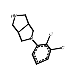 Clc1cccc(N2CC3CNCC3C2)c1Cl